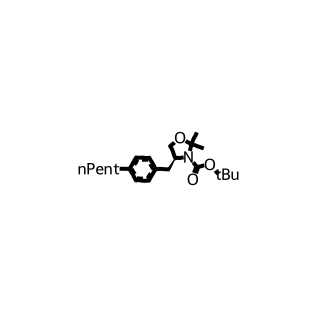 CCCCCc1ccc(C[C@H]2COC(C)(C)N2C(=O)OC(C)(C)C)cc1